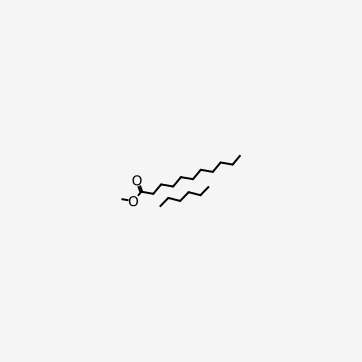 CCCCCC.CCCCCCCCCCC(=O)OC